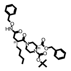 CCCCC[C@H](CC(=O)NOCc1ccccc1)C(=O)N1CCN(C(=O)OC(C)(C)C)[C@@H](C(=O)OCc2ccccc2)C1